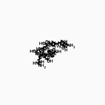 CN(CC1CNc2nc(N)[nH]c(=O)c2N1C)c1ccc(C(=O)N[C@@H](CCC(=O)N[C@@H](CC(=O)O)C(=O)N[C@@H](CCCNC(=N)N)C(=O)N[C@@H](CC(=O)O)C(=O)N[C@H](CC(=O)O)C(=O)N[C@@H](CS)C(=O)O)C(=O)O)cc1